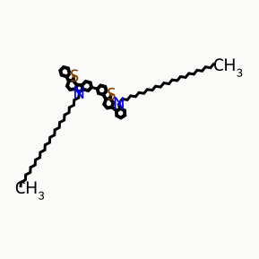 CCCCCCCCCCCCCCCCCCCCCCCCCn1c2cc(-c3ccc4sc5c(ccc6c7ccccc7n(CCCCCCCCCCCCCCCCCCCCCCCC)c65)c4c3)ccc2c2c3sc4ccccc4c3ccc21